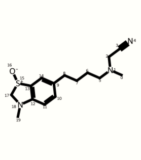 CN(CC#N)CCCCc1ccc2c(c1)[S+]([O-])CN2C